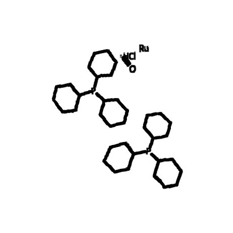 C1CCC(P(C2CCCCC2)C2CCCCC2)CC1.C1CCC(P(C2CCCCC2)C2CCCCC2)CC1.Cl.[C]=O.[Ru]